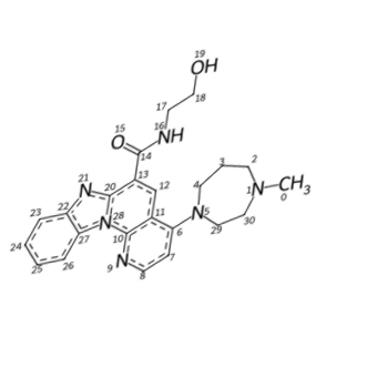 CN1CCCN(c2ccnc3c2cc(C(=O)NCCO)c2nc4ccccc4n23)CC1